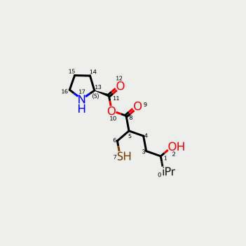 CC(C)C(O)CCC(CS)C(=O)OC(=O)[C@@H]1CCCN1